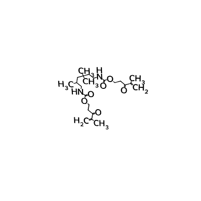 C=C(C)C(=O)CCOC(=O)NCCC(C)(C)CC(C)CNC(=O)OCCC(=O)C(=C)C